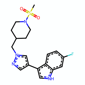 CS(=O)(=O)N1CCC(Cn2cc(-c3c[nH]c4cc(F)ccc34)cn2)CC1